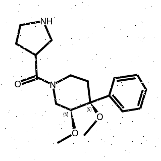 CO[C@H]1CN(C(=O)C2CCNC2)CC[C@]1(OC)c1ccccc1